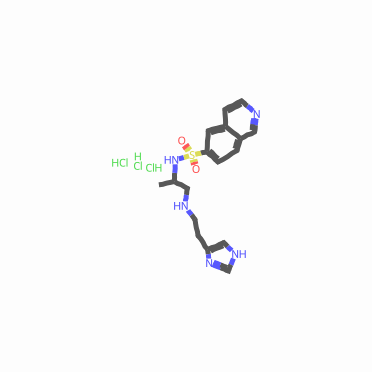 CC(CNCCc1c[nH]cn1)NS(=O)(=O)c1ccc2cnccc2c1.Cl.Cl.Cl